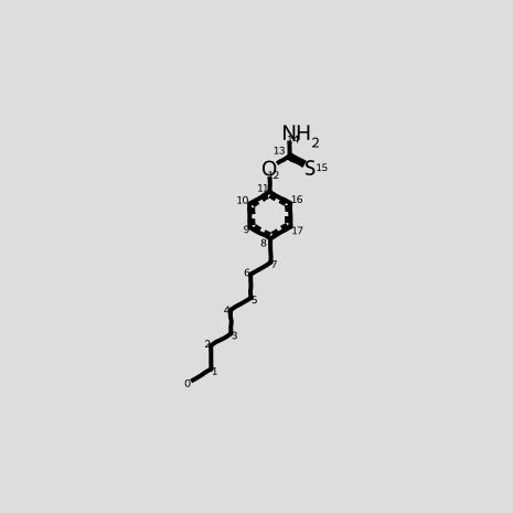 CCCCCCCCc1ccc(OC(N)=S)cc1